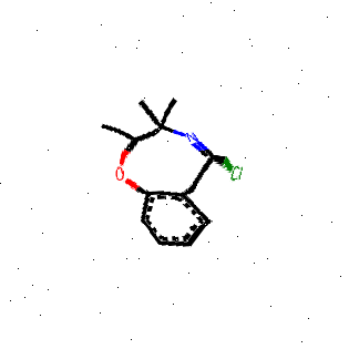 CC1Oc2ccccc2C(Cl)=NC1(C)C